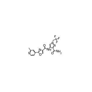 Cc1cc(-c2nc(C(=O)Nc3cn(CC(F)(F)F)nc3C(N)=O)co2)ccn1